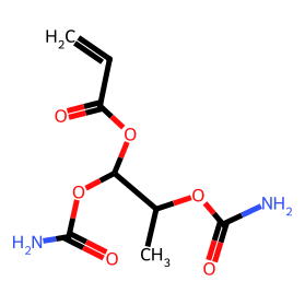 C=CC(=O)OC(OC(N)=O)C(C)OC(N)=O